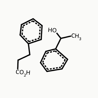 CC(O)c1ccccc1.O=C(O)CCc1ccccc1